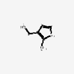 Cc1sccc1CO